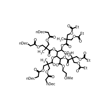 CCCCCCCCCCCC(=O)OCC(C)(COC(=O)CCCCCCCCCCC)C(=O)OC(C(OC(=O)C(C)(COC(=O)CC)COC(=O)CC)C(=O)O)C(OC(=O)C(C)(COC(=O)CCCCCCCCCCC)COC(=O)CCCCCCCCCCC)C(OC(=O)C(C)(COC(=O)CC)COC(=O)CC)C(=O)OCCOC